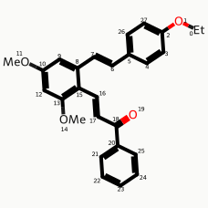 CCOc1ccc(/C=C/c2cc(OC)cc(OC)c2/C=C/C(=O)c2ccccc2)cc1